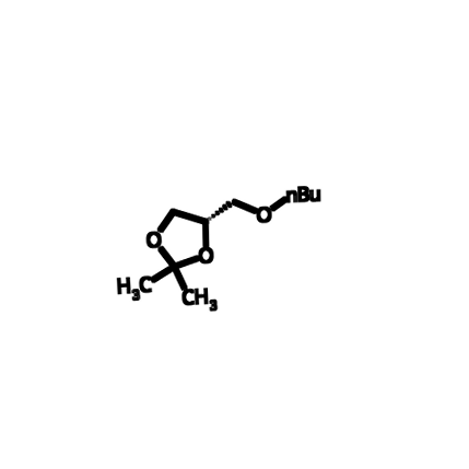 CCCCOC[C@H]1COC(C)(C)O1